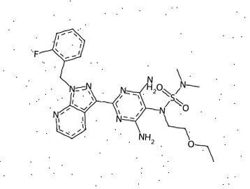 CCOCCN(c1c(N)nc(-c2nn(Cc3ccccc3F)c3ncccc23)nc1N)S(=O)(=O)N(C)C